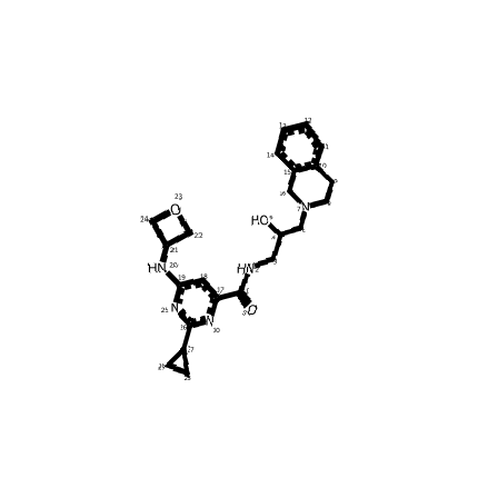 O=C(NCC(O)CN1CCc2ccccc2C1)c1cc(NC2COC2)nc(C2CC2)n1